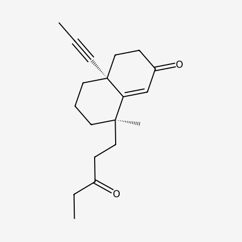 CC#C[C@@]12CCC[C@](C)(CCC(=O)CC)C1=CC(=O)CC2